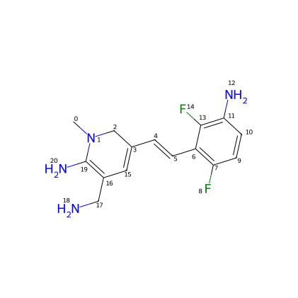 CN1CC(C=Cc2c(F)ccc(N)c2F)=CC(CN)=C1N